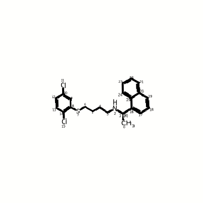 C[C@@H](NCCCCSc1cc(Cl)ccc1Cl)c1cccc2ccccc12